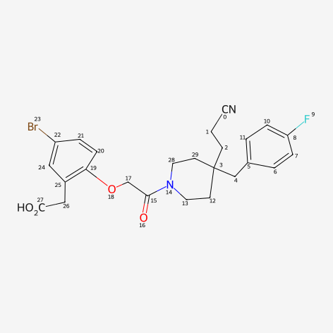 N#CCCC1(Cc2ccc(F)cc2)CCN(C(=O)COc2ccc(Br)cc2CC(=O)O)CC1